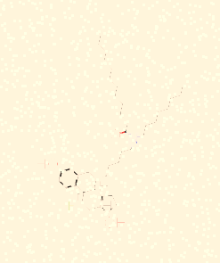 CCCCCCCCCCCC(=O)N(CCCCCCCC)CCCCC[C@@H]1Cc2cc(O)ccc2[C@@H]2[C@@H]1[C@@H]1CC[C@H](O)[C@@]1(C)C[C@@H]2F